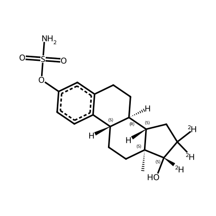 [2H]C1([2H])C[C@H]2[C@@H]3CCc4cc(OS(N)(=O)=O)ccc4[C@H]3CC[C@]2(C)[C@@]1([2H])O